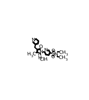 CCN(CC)S(=O)(=O)c1ccc(-n2[nH]c(C)c(Cc3cccnc3)c2=O)nc1.Cl